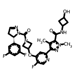 Cc1c(-c2cc(OC3CN(C(=O)N4N=CC[C@H]4c4cc(F)cc(F)c4)C3)c(F)cn2)nn(C)c1C(=O)NC1CC(O)C1